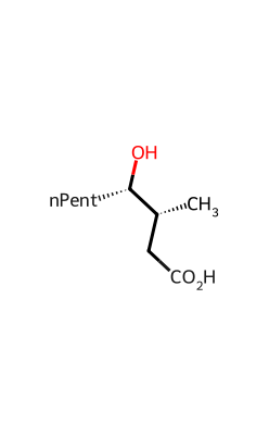 CCCCC[C@H](O)[C@H](C)CC(=O)O